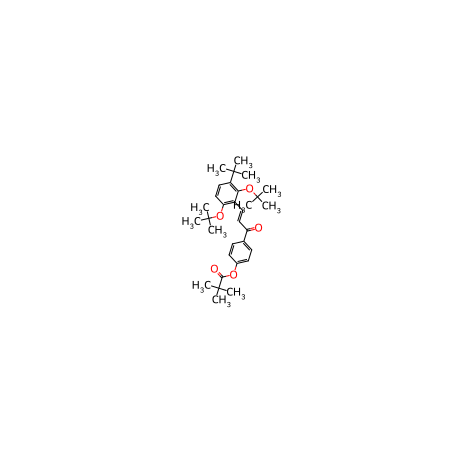 CC(C)(C)Oc1ccc(C(C)(C)C)c(OC(C)(C)C)c1C=CC(=O)c1ccc(OC(=O)C(C)(C)C)cc1